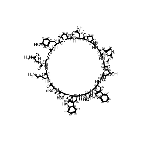 CCCC[C@H]1C(=O)N(C)[C@@H](CCCC)C(=O)N[C@@H](CCCN)C(=O)N[C@H](C(=O)NCC(N)=O)CSCC(=O)N[C@@H](Cc2ccc(O)cc2)C(=O)N2CCC[C@H]2C(=O)N[C@@H](CC(N)=O)C(=O)N2CCC[C@H]2C(=O)N[C@@H](Cc2cnc[nH]2)C(=O)N[C@@H](CC(C)C)C(=O)N2C[C@H](O)C[C@H]2C(=O)N[C@@H](Cc2c[nH]c3ccccc23)C(=O)N[C@@H](CO)C(O)N[C@@H](Cc2c[nH]c3ccccc23)C(=O)N1C